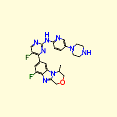 CC1COCc2nc3c(F)cc(-c4nc(Nc5ccc(N6CCNCC6)cn5)ncc4F)cc3n21